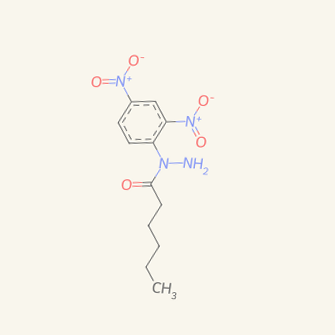 CCCCCC(=O)N(N)c1ccc([N+](=O)[O-])cc1[N+](=O)[O-]